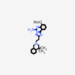 COc1cccc2c1nc(N)n1nc(CCN3Cc4ccccc4C(C)(C)C3)nc21